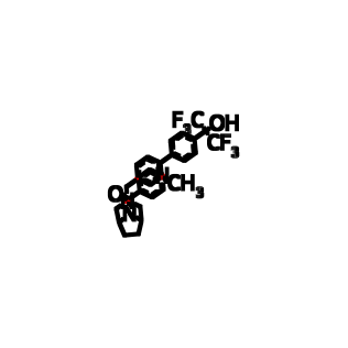 Cc1cc(CN2CC3CCC(C2)N3C(=O)c2ccncc2)ccc1-c1ccc(C(O)(C(F)(F)F)C(F)(F)F)cc1